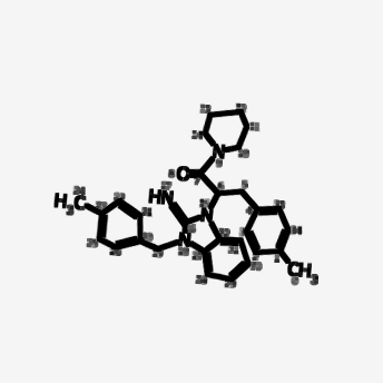 Cc1ccc(CC(C(=O)N2CCCCC2)n2c(=N)n(Cc3ccc(C)cc3)c3ccccc32)cc1